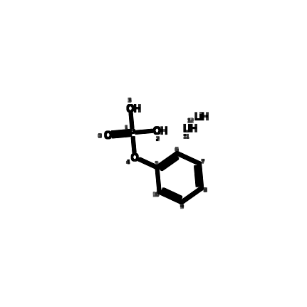 O=P(O)(O)Oc1ccccc1.[LiH].[LiH]